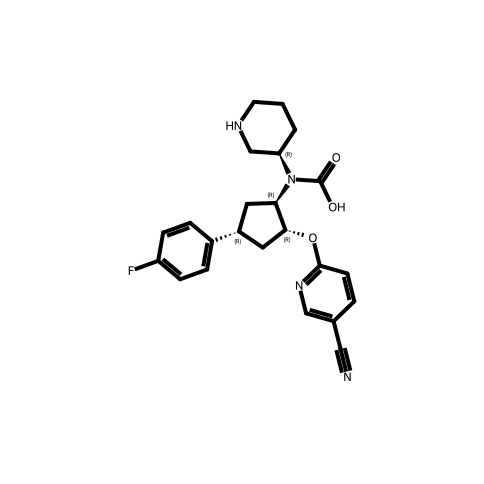 N#Cc1ccc(O[C@@H]2C[C@H](c3ccc(F)cc3)C[C@H]2N(C(=O)O)[C@@H]2CCCNC2)nc1